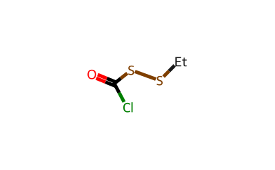 CCSSC(=O)Cl